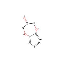 O=C1COc2ccccc2OC1